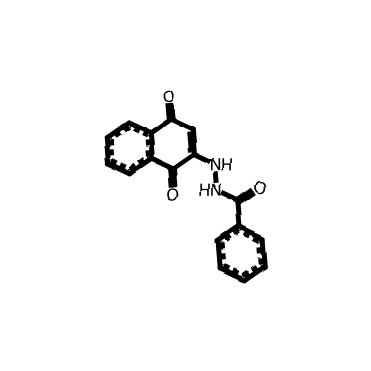 O=C(NNC1=CC(=O)c2ccccc2C1=O)c1ccccc1